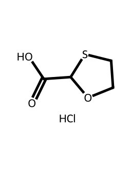 Cl.O=C(O)C1OCCS1